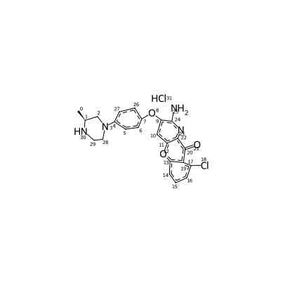 C[C@H]1CN(c2ccc(Oc3cc4oc5cccc(Cl)c5c(=O)c4nc3N)cc2)CCN1.Cl